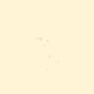 COc1ccccc1OCCOC(=O)Nc1cccc(C)c1